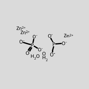 O.O.O=P([O-])([O-])[O-].[O-]P([O-])[O-].[Zn+2].[Zn+2].[Zn+2]